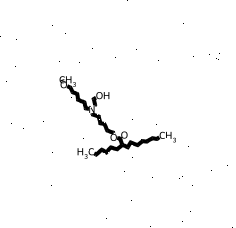 CCCCCCCCC(CCCCCC)C(=O)OCCCCCCN(CCO)CCCCCCOC